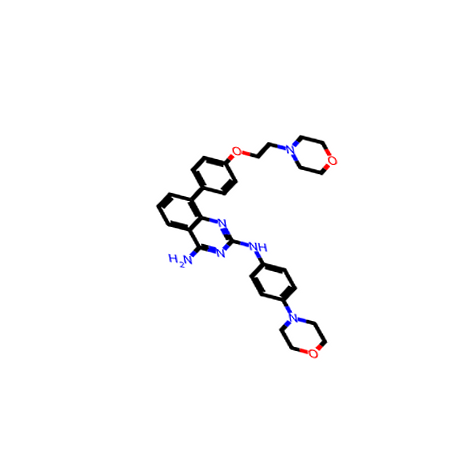 Nc1nc(Nc2ccc(N3CCOCC3)cc2)nc2c(-c3ccc(OCCN4CCOCC4)cc3)cccc12